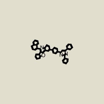 c1ccc(-c2cc(-c3ccc(-c4ccc5nc(-c6cccc7ccccc67)c6c7ccccc7oc6c5c4)cc3)nc(-c3ccccc3)n2)cc1